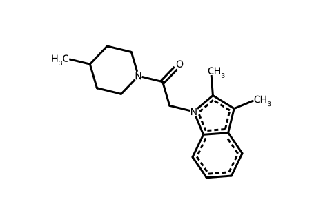 Cc1c(C)n(CC(=O)N2CCC(C)CC2)c2ccccc12